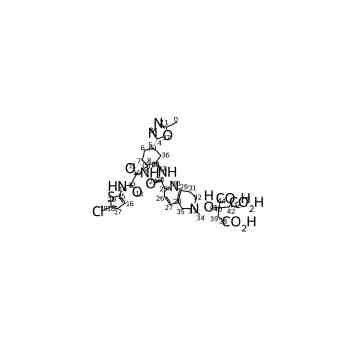 Cc1nnc([C@H]2CC[C@H](NC(=O)C(=O)Nc3ccc(Cl)s3)[C@H](NC(=O)c3ccc4c(n3)CCN(C)C4)C2)o1.O=C(O)CC(O)(CC(=O)O)C(=O)O